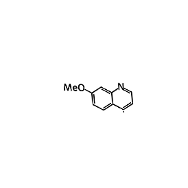 COc1ccc2[c]ccnc2c1